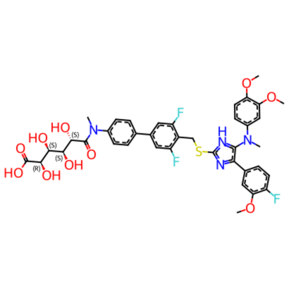 COc1cc(-c2nc(SCc3c(F)cc(-c4ccc(N(C)C(=O)[C@@H](O)[C@@H](O)[C@H](O)[C@@H](O)C(=O)O)cc4)cc3F)[nH]c2N(C)c2ccc(OC)c(OC)c2)ccc1F